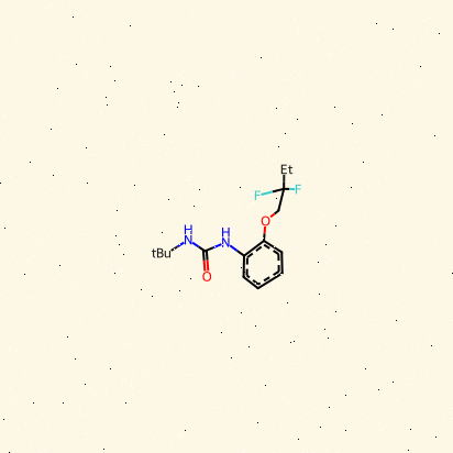 CCC(F)(F)COc1ccccc1NC(=O)NC(C)(C)C